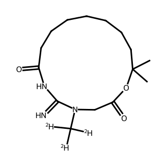 [2H]C([2H])([2H])N1CC(=O)OC(C)(C)CCCCCCCC(=O)NC1=N